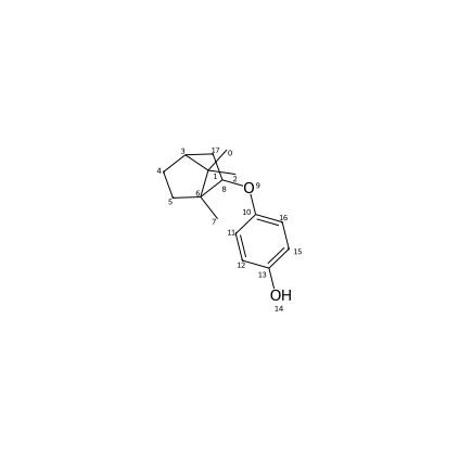 CC1(C)C2CCC1(C)C(Oc1ccc(O)cc1)C2